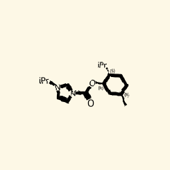 CC(C)[C@@H]1CC[C@@H](C)C[C@H]1OC(=O)[n+]1ccn(C(C)C)c1